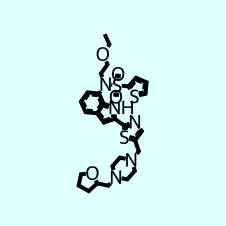 CCOCCN(c1cccc2cc(-c3ncc(CN4CCN(CC5CCCO5)CC4)s3)[nH]c12)S(=O)(=O)c1cccs1